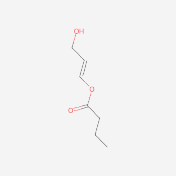 CCCC(=O)OC=CCO